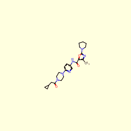 O=C(Nc1ccc(N2CCN(C(=O)CC3CC3)CC2)nc1)c1oc(N2CCCCC2)nc1C(F)(F)F